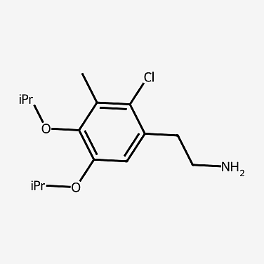 Cc1c(Cl)c(CCN)cc(OC(C)C)c1OC(C)C